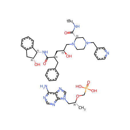 CC(C)(C)NC(=O)[C@@H]1CN(Cc2cccnc2)CCN1C[C@@H](O)C[C@@H](Cc1ccccc1)C(=O)N[C@H]1c2ccccc2C[C@H]1O.C[C@H](Cn1cnc2c(N)ncnc21)OCP(=O)(O)O